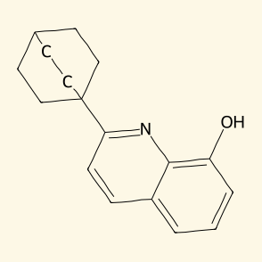 Oc1cccc2ccc(C34CCC(CC3)CC4)nc12